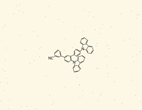 N#Cc1cccc(-c2ccc(-n3c4ccccc4c4ccccc43)c(-c3ccc(-n4c5ccccc5c5ccccc54)cc3)c2)c1